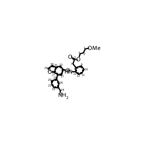 COCCCOC(=O)Cc1ccccc1NCc1cc(-c2cccc(CN)c2)c2occc2c1